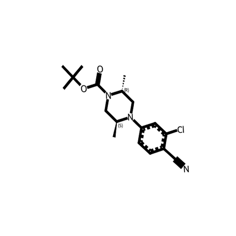 C[C@@H]1CN(c2ccc(C#N)c(Cl)c2)[C@@H](C)CN1C(=O)OC(C)(C)C